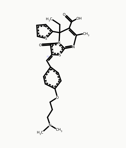 CCC1(c2cccs2)C(C(=O)O)=C(C)N=c2s/c(=C\c3ccc(OCCCN(C)C)cc3)c(=O)n21